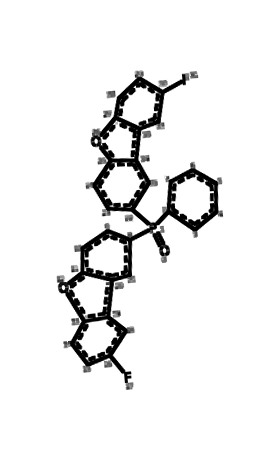 O=P(c1ccccc1)(c1ccc2oc3ccc(F)cc3c2c1)c1ccc2oc3ccc(F)cc3c2c1